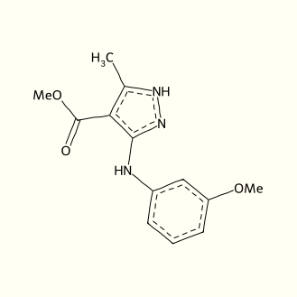 COC(=O)c1c(Nc2cccc(OC)c2)n[nH]c1C